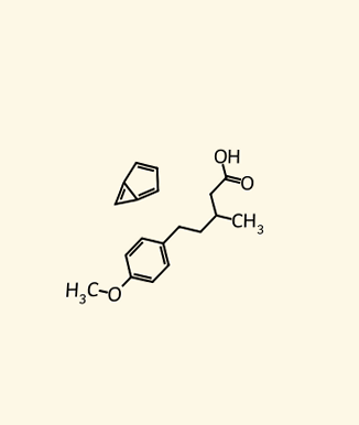 COc1ccc(CCC(C)CC(=O)O)cc1.c1cc2cc-2c1